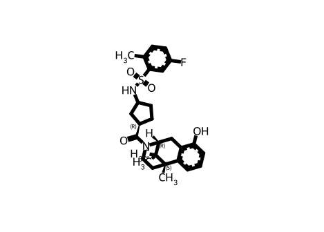 Cc1ccc(F)cc1S(=O)(=O)NC1CC[C@@H](C(=O)N2CC[C@@]3(C)c4cccc(O)c4C[C@@H]2C3(C)C)C1